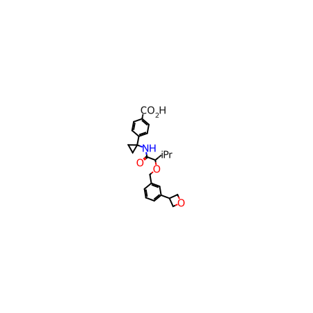 CC(C)C(OCc1cccc(C2COC2)c1)C(=O)NC1(c2ccc(C(=O)O)cc2)CC1